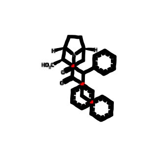 O=C(O)[C@H]1[C@@H]2CC[C@H](CN1C(=O)OCc1ccccc1)N2C(=O)C(c1ccccc1)c1ccccc1